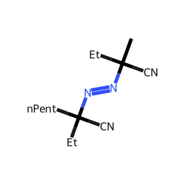 CCCCCC(C#N)(CC)N=NC(C)(C#N)CC